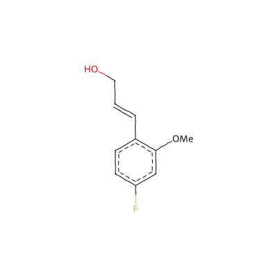 COc1cc(F)ccc1C=CCO